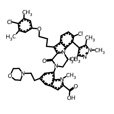 Cc1cc(OCCCc2c3n(c4c(-c5c(C)nn(C)c5C)c(Cl)ccc24)[C@H](C)CN(c2cc(CCN4CCOCC4)cc4cc(C(=O)O)n(C)c24)C3=O)cc(C)c1Cl